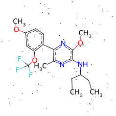 CCC(CC)Nc1nc(C)c(-c2ccc(OC)cc2OC(F)(F)F)nc1OC